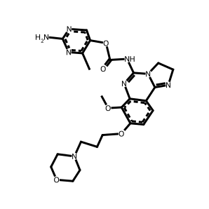 COc1c(OCCCN2CCOCC2)ccc2c1N=C(NC(=O)Oc1cnc(N)nc1C)N1CCN=C21